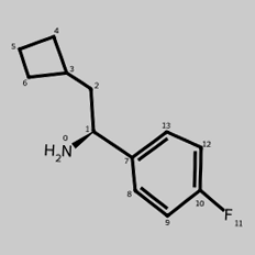 N[C@@H](CC1CCC1)c1ccc(F)cc1